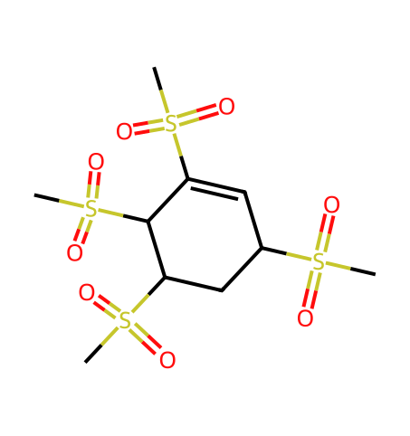 CS(=O)(=O)C1=CC(S(C)(=O)=O)CC(S(C)(=O)=O)C1S(C)(=O)=O